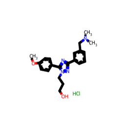 COc1ccc(-c2nc(-c3cccc(CN(C)C)c3)nn2CCCO)cc1.Cl